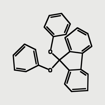 c1ccc(OC2(Oc3ccccc3)c3ccccc3-c3ccccc32)cc1